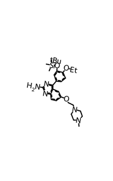 CCOc1ccc(-c2nc(N)nc3ccc(OCCN4CCN(C)CC4)cc23)cc1O[Si](C)(C)C(C)(C)C